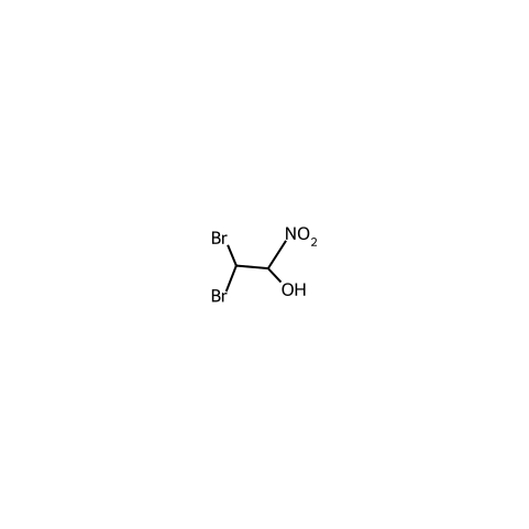 O=[N+]([O-])C(O)C(Br)Br